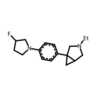 CCN1CC2CC2(c2ccc(N3CCC(F)C3)cc2)C1